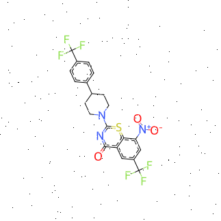 O=c1nc(N2CCC(c3ccc(C(F)(F)F)cc3)CC2)sc2c([N+](=O)[O-])cc(C(F)(F)F)cc12